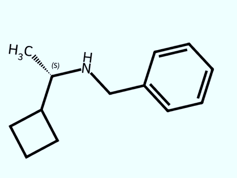 C[C@H](NCc1ccccc1)C1CCC1